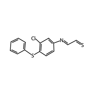 S=CC=Nc1ccc(Sc2ccccc2)c(Cl)c1